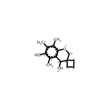 Cc1c(C)c2c(c(C)c1O)C(O)C1(CCC1)CO2